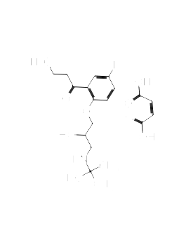 CCCC(=O)c1cc(F)ccc1OCC(O)CNC(C)(C)C.O=C(O)/C=C\C(=O)O